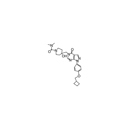 CN(C)C(=O)N1CCC(O)(Cn2cnc3c(cnn3-c3ccc(OCC4CCC4)cc3)c2=O)CC1